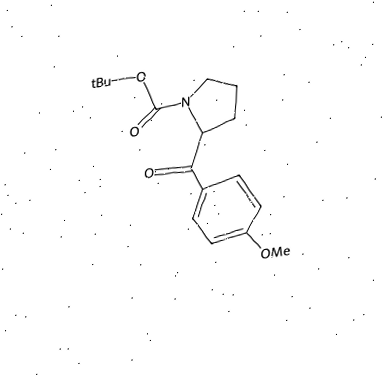 COc1ccc(C(=O)C2CCCN2C(=O)OC(C)(C)C)cc1